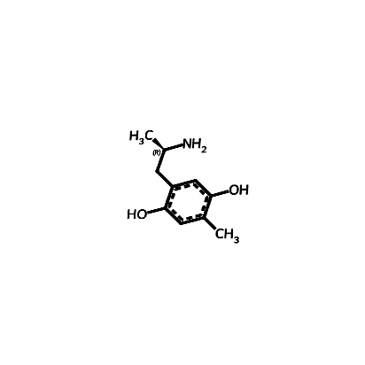 Cc1cc(O)c(C[C@@H](C)N)cc1O